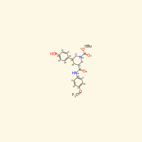 CC(C)(C)OC(=O)N1CC(C(=O)Nc2ccc(OC(F)(F)F)cc2)CC(c2ccc(O)cc2)C1